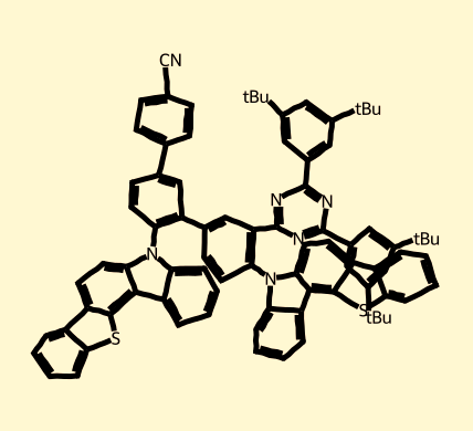 CC(C)(C)c1cc(-c2nc(-c3cc(C(C)(C)C)cc(C(C)(C)C)c3)nc(-c3cc(-c4cc(-c5ccc(C#N)cc5)ccc4-n4c5ccccc5c5c6sc7ccccc7c6ccc54)ccc3-n3c4ccccc4c4c5sc6ccccc6c5ccc43)n2)cc(C(C)(C)C)c1